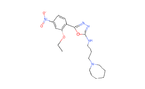 CCOc1cc([N+](=O)[O-])ccc1-c1nnc(NCCCN2CCCCC2)o1